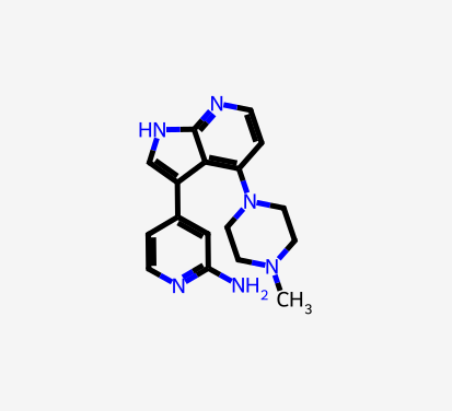 CN1CCN(c2ccnc3[nH]cc(-c4ccnc(N)c4)c23)CC1